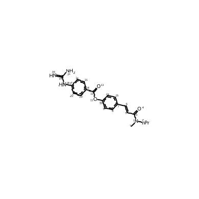 CCCN(C)C(=O)C=Cc1ccc(OC(=O)c2ccc(NC(=N)N)cc2)cc1